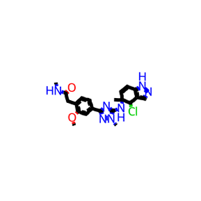 CNC(=O)Cc1ccc(-c2nc(NC3(C)C=Cc4[nH]ncc4C3Cl)n(C)n2)cc1OC